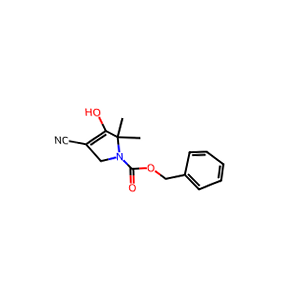 CC1(C)C(O)=C(C#N)CN1C(=O)OCc1ccccc1